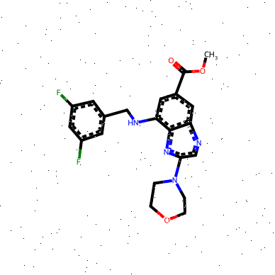 COC(=O)c1cc(NCc2cc(F)cc(F)c2)c2nc(N3CCOCC3)cnc2c1